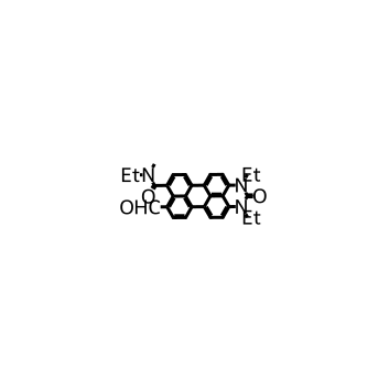 CCN(C)C(=O)c1ccc2c3ccc4c5c(ccc(c6ccc(C=O)c1c62)c53)N(CC)C(=O)N4CC